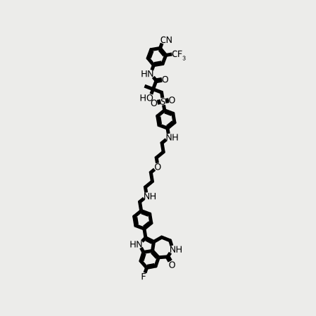 CC(O)(CS(=O)(=O)c1ccc(NCCCOCCCNCc2ccc(-c3[nH]c4cc(F)cc5c4c3CCNC5=O)cc2)cc1)C(=O)Nc1ccc(C#N)c(C(F)(F)F)c1